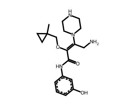 CC1(CO/C(C(=O)Nc2cccc(O)c2)=C(/CN)N2CCNCC2)CC1